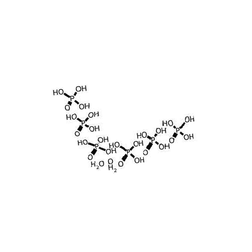 O.O.O=P(O)(O)O.O=P(O)(O)O.O=P(O)(O)O.O=P(O)(O)O.O=P(O)(O)O.O=P(O)(O)O